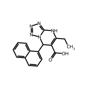 CCC1=C(C(=O)O)C(c2cccc3ccccc23)n2nnnc2N1